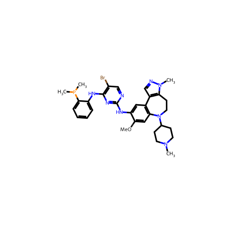 COc1cc2c(cc1Nc1ncc(Br)c(Nc3ccccc3P(C)C)n1)-c1cnn(C)c1CCN2C1CCN(C)CC1